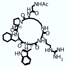 CC(=O)NCC(=O)NC1CCCNC(=O)[C@H](CCCNC(=N)N)NC(=O)[C@H](Cc2c[nH]c3ccccc23)NC(=O)[C@@H](CC2CCCCC2)NC(=O)[C@@H]2CCCN2C1=O